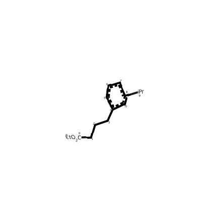 CCOC(=O)CCCc1cccc(C(C)C)c1